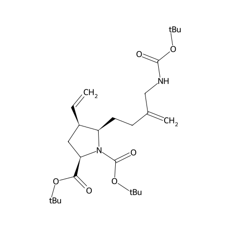 C=C[C@@H]1C[C@H](C(=O)OC(C)(C)C)N(C(=O)OC(C)(C)C)[C@@H]1CCC(=C)CNC(=O)OC(C)(C)C